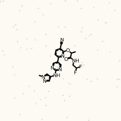 CC(Oc1nc(-c2cnc(Nc3cnn(C)c3)nc2)ccc1C#N)C(=O)NCC(F)F